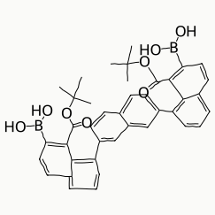 CC(C)(C)OC(=O)c1c(B(O)O)ccc2cccc(-c3ccc4ccc(-c5cccc6ccc(B(O)O)c(C(=O)OC(C)(C)C)c56)cc4c3)c12